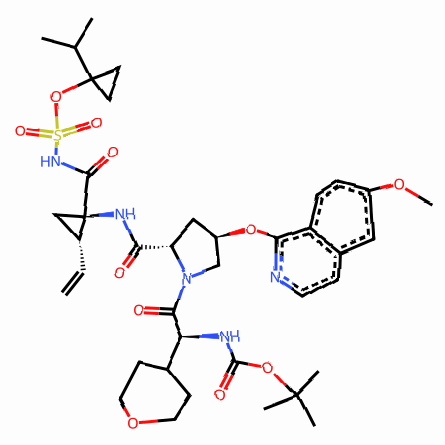 C=C[C@@H]1C[C@]1(NC(=O)[C@@H]1C[C@@H](Oc2nccc3cc(OC)ccc23)CN1C(=O)[C@@H](NC(=O)OC(C)(C)C)C1CCOCC1)C(=O)NS(=O)(=O)OC1(C(C)C)CC1